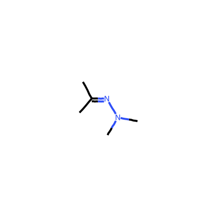 CC(C)=NN(C)C